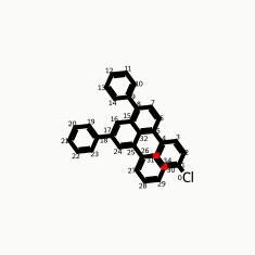 Clc1ccc(-c2ccc(-c3ccccc3)c3cc(-c4ccccc4)cc(-c4ccccc4)c23)cc1